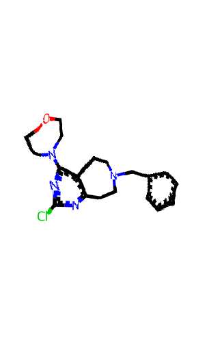 Clc1nc2c(c(N3CCOCC3)n1)CCN(Cc1ccccc1)CC2